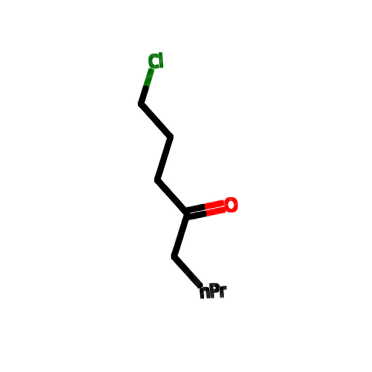 CCCCC(=O)CCCCl